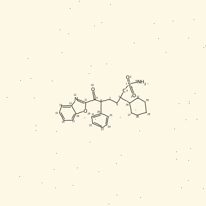 NS(=O)(=O)CC(CCC(C(=O)c1nc2ccccc2o1)c1ccccc1)C1CCCCC1